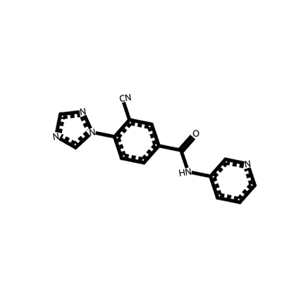 N#Cc1cc(C(=O)Nc2cccnc2)ccc1-n1cncn1